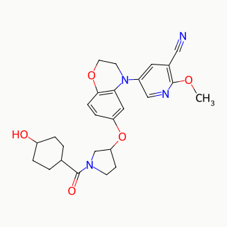 COc1ncc(N2CCOc3ccc(OC4CCN(C(=O)C5CCC(O)CC5)C4)cc32)cc1C#N